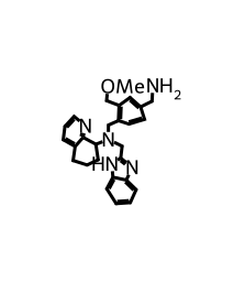 COCc1cc(CN)ccc1CN(Cc1nc2ccccc2[nH]1)C1CCCc2cccnc21